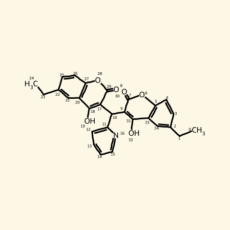 CCc1ccc2oc(=O)c(C(c3ccccn3)c3c(O)c4cc(CC)ccc4oc3=O)c(O)c2c1